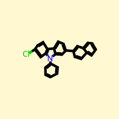 Clc1ccc2c3ccc(-c4ccc5ccccc5c4)cc3n(-c3ccccc3)c2c1